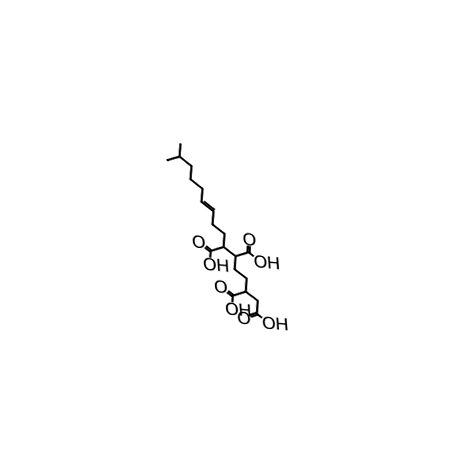 CC(C)CCCC=CCCC(C(=O)O)C(CCC(CC(=O)O)C(=O)O)C(=O)O